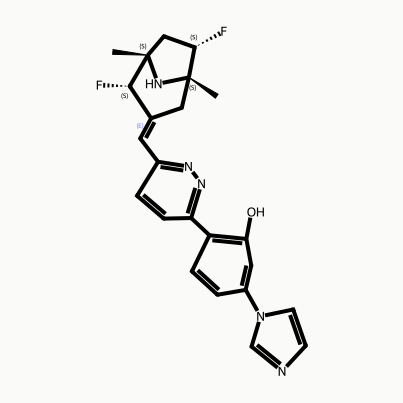 C[C@]12C/C(=C\c3ccc(-c4ccc(-n5ccnc5)cc4O)nn3)[C@H](F)[C@](C)(C[C@@H]1F)N2